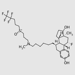 CN(CCCCCC[C@@H]1Cc2cc(O)ccc2[C@@H]2[C@@H]1[C@@H]1CCC(O)[C@@]1(C)C[C@@H]2F)CCC[S+]([O-])CCCC(F)(F)C(F)(F)F